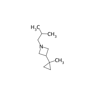 CC(C)CN1CC(C2(C)CC2)C1